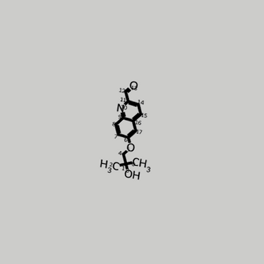 CC(C)(O)COc1ccc2nc(C=O)ccc2c1